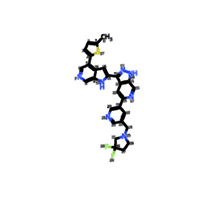 Cc1ccc(-c2cncc3[nH]c(-c4n[nH]c5cnc(-c6cncc(CN7CCC(F)(F)C7)c6)cc45)cc23)s1